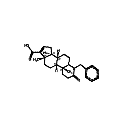 C[C@]12CCC(=O)N(Cc3ccccc3)C1CC[C@@H]1[C@H]2CC[C@]2(C)C(C(=O)O)=CC[C@@H]12